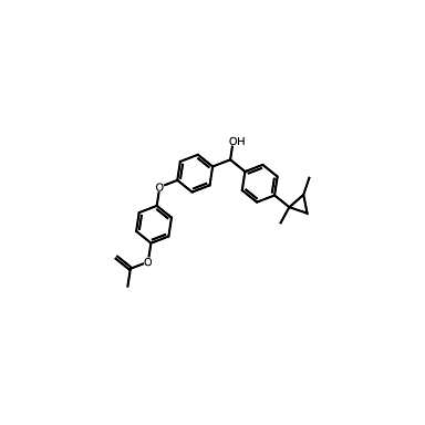 C=C(C)Oc1ccc(Oc2ccc(C(O)c3ccc(C4(C)CC4C)cc3)cc2)cc1